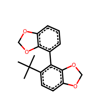 CC(C)(C)c1ccc2c(c1-c1cccc3c1OCO3)OCO2